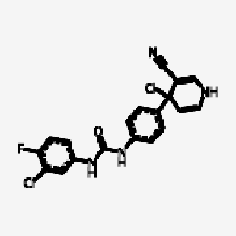 N#CC1=CNC=CC1(Cl)c1ccc(NC(=O)Nc2ccc(F)c(Cl)c2)cc1